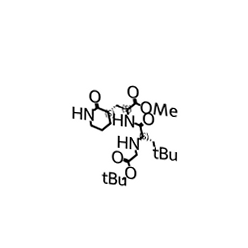 COC(=O)[C@H](C[C@@H]1CCCNC1=O)NC(=O)[C@H](CC(C)(C)C)NCC(=O)OC(C)(C)C